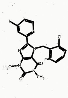 Cn1c(=O)c2c(nc(-c3cccc(I)c3)n2Cc2c(F)cccc2Cl)n(C)c1=O